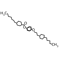 CCCCCCCC1CCC(C(=O)Oc2ccc(OCCCC3CCC(CCCCC)CC3)cc2)CC1